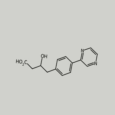 O=C(O)CC(O)Cc1ccc(-c2cnccn2)cc1